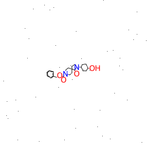 O=C(OCc1ccccc1)N1CCC2(CC1)CCN(C1CCC(O)CC1)C2=O